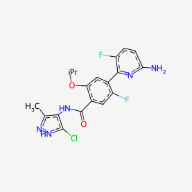 Cc1n[nH]c(Cl)c1NC(=O)c1cc(F)c(-c2nc(N)ccc2F)cc1OC(C)C